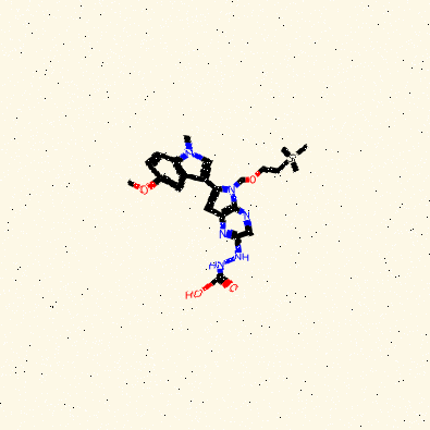 COc1ccc2c(c1)c(-c1cc3nc(NNC(=O)O)cnc3n1COCC[Si](C)(C)C)cn2C